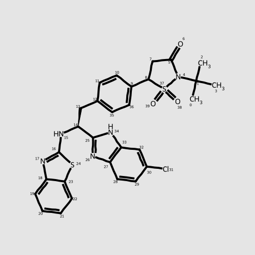 CC(C)(C)N1C(=O)CC(c2ccc(C[C@H](Nc3nc4ccccc4s3)c3nc4ccc(Cl)cc4[nH]3)cc2)S1(=O)=O